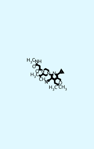 CNC(=O)CC(=O)N1CCN(c2nc(C3CC3)c3c(c2C#N)CC(C)(C)OC3)CC1C(C)C